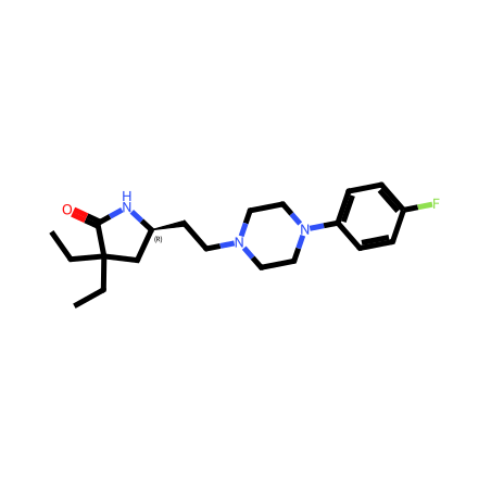 CCC1(CC)C[C@H](CCN2CCN(c3ccc(F)cc3)CC2)NC1=O